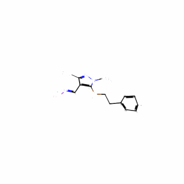 Cn1nc(C(F)(F)F)c(C=NO)c1SCCc1ccccc1